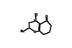 CCC(C)C1C[C@@H](CC)C2=C(CCCC2=O)O1